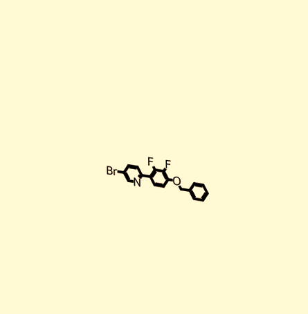 Fc1c(OCc2ccccc2)ccc(-c2ccc(Br)cn2)c1F